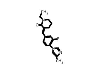 CCN1CCC/C(=C\c2ccc(-n3cnc(C)c3)c(F)c2)C1=O